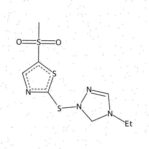 CCN1C=NN(Sc2ncc(S(C)(=O)=O)s2)C1